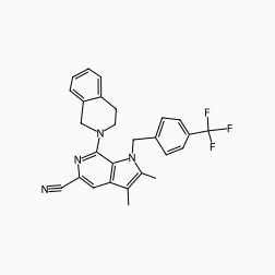 Cc1c(C)n(Cc2ccc(C(F)(F)F)cc2)c2c(N3CCc4ccccc4C3)nc(C#N)cc12